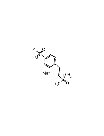 C[SH](C)(=O)C=Cc1ccc(S(=O)(=O)[O-])cc1.[Na+]